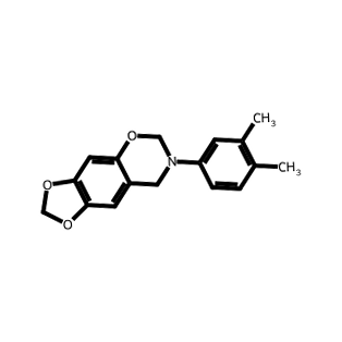 Cc1ccc(N2COc3cc4c(cc3C2)OCO4)cc1C